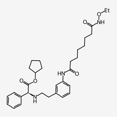 CCONC(=O)CCCCCCC(=O)Nc1cccc(CCN[C@H](C(=O)OC2CCCC2)c2ccccc2)c1